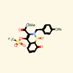 COC(=O)C1=C(OS(=O)(=O)C(F)(F)F)C2=CC=CC(=O)C2[S+]([O-])N1Cc1ccc(OC)cc1